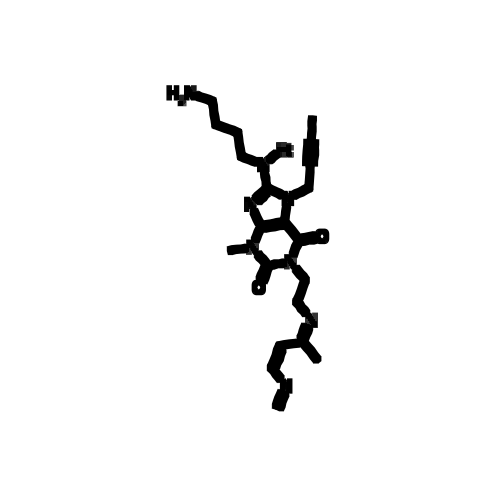 C=N/C=C\C(C)=N/CCn1c(=O)c2c(nc(N(CC)CCCCN)n2CC#CC)n(C)c1=O